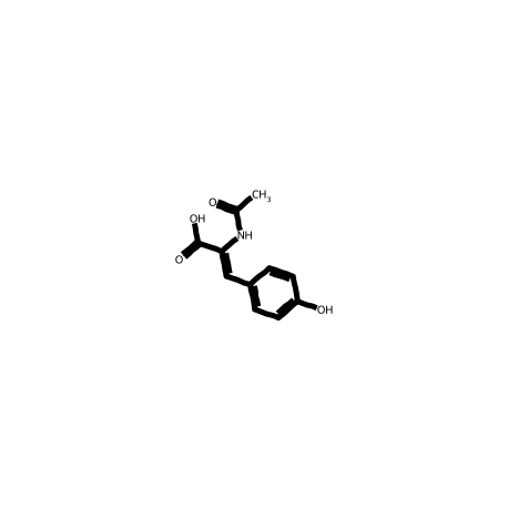 CC(=O)NC(=Cc1ccc(O)cc1)C(=O)O